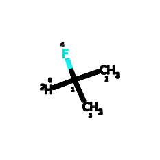 [2H]C(C)(C)F